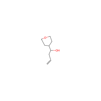 C=CCC(O)C1CCOCC1